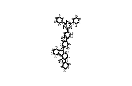 c1ccc(-c2nc(-c3ccccc3)nc(-c3ccc4c(c3)sc3cc(-n5c6ccccc6c6c7oc8ccccc8c7ccc65)ccc34)n2)cc1